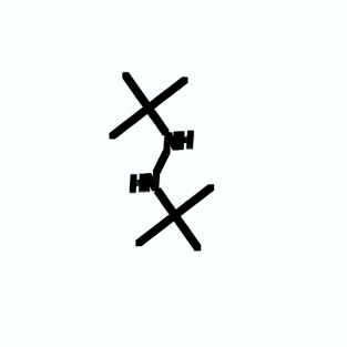 CC(C)(C)NNC(C)(C)C